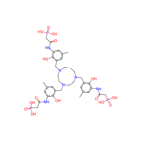 Cc1cc(CN2CCCN(Cc3cc(C)cc(NC(=O)CP(=O)(O)O)c3O)CCN(Cc3cc(C)cc(NC(=O)CP(=O)(O)O)c3O)CC2)c(O)c(NC(=O)CP(=O)(O)O)c1